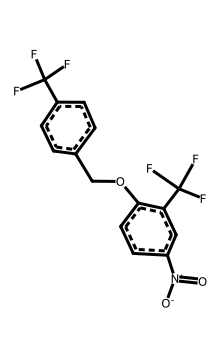 O=[N+]([O-])c1ccc(OCc2ccc(C(F)(F)F)cc2)c(C(F)(F)F)c1